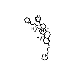 C[C@]12CC[C@H](OCCN3CCCC3)C=C1CC[C@@H]1[C@@H]2CC[C@@]2(C)[C@H]1CC[C@]2(OCCN1CCCC1)c1ccoc1